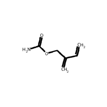 C=CC(=C)COC(N)=O